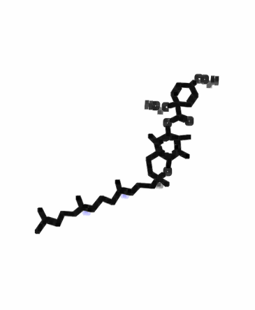 CC(C)=CCC/C(C)=C/CC/C(C)=C/CC[C@]1(C)CCc2c(C)c(OC(=O)C3(C(=O)O)C=CC(C(=O)O)C=C3)c(C)c(C)c2O1